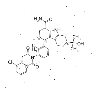 Cc1c([C@H]2c3c([nH]c4c3CC[C@H](C(C)(C)O)C4)C(C(N)=O)C[C@H]2F)cccc1-n1c(=O)cc2c(Cl)cccn2c1=O